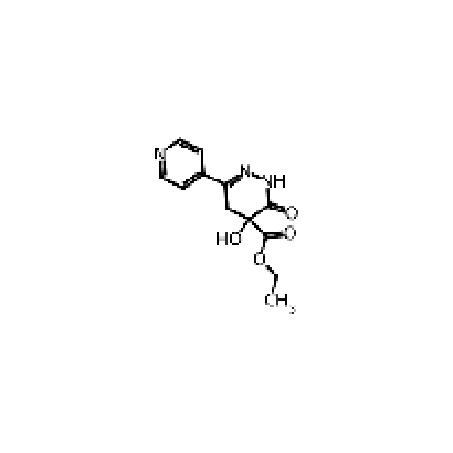 CCOC(=O)C1(O)CC(c2ccncc2)=NNC1=O